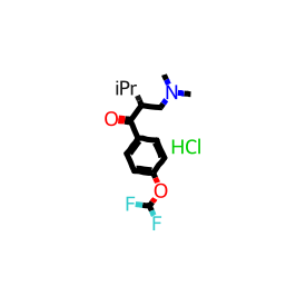 CC(C)C(CN(C)C)C(=O)c1ccc(OC(F)F)cc1.Cl